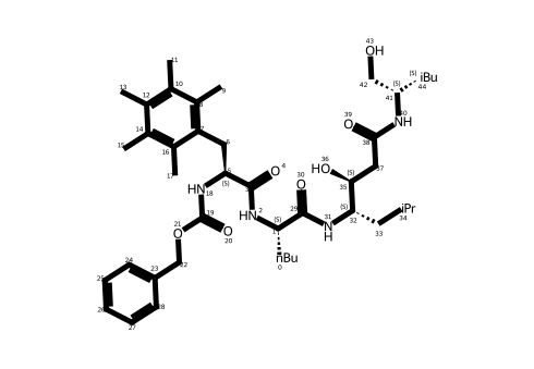 CCCC[C@H](NC(=O)[C@H](Cc1c(C)c(C)c(C)c(C)c1C)NC(=O)OCc1ccccc1)C(=O)N[C@@H](CC(C)C)[C@@H](O)CC(=O)N[C@H](CO)[C@@H](C)CC